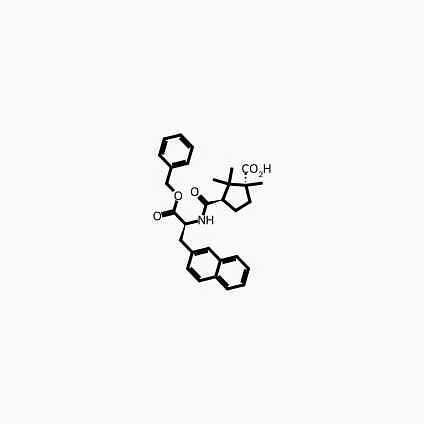 CC1(C)[C@H](C(=O)N[C@@H](Cc2ccc3ccccc3c2)C(=O)OCc2ccccc2)CC[C@@]1(C)C(=O)O